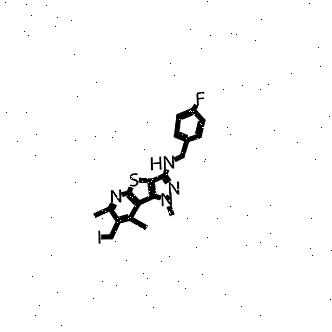 Cc1nc2sc3c(NCc4ccc(F)cc4)nn(C)c3c2c(C)c1CI